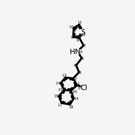 Clc1c(CCCNCc2cccs2)ccc2ccccc12